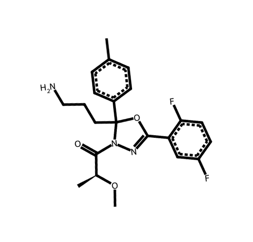 CO[C@@H](C)C(=O)N1N=C(c2cc(F)ccc2F)OC1(CCCN)c1ccc(C)cc1